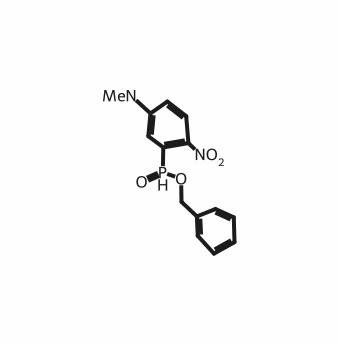 CNc1ccc([N+](=O)[O-])c([PH](=O)OCc2ccccc2)c1